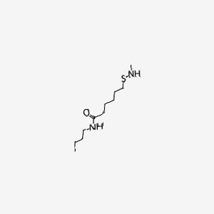 CCCCNC(=O)CCCCCSNC